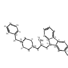 Cc1ccc2c3ccccc3n(CC(O)CN3CCN(Cc4ccccc4)CC3)c2c1